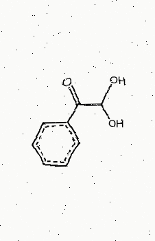 O=C(c1ccccc1)C(O)O